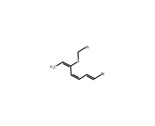 C\C=C(/C=C\C=C\Br)SCC(C)C